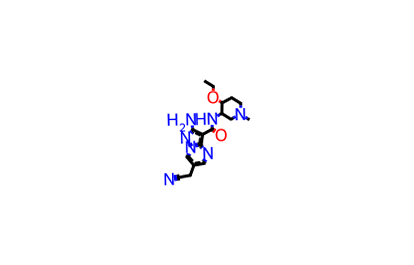 CCOC1CCN(C)CC1NC(=O)c1c(N)nn2cc(CC#N)cnc12